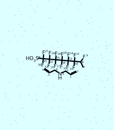 C=CCNCC=C.CC(F)C(F)(F)C(F)(F)C(F)(F)C(F)(F)C(F)(F)C(F)(F)S(=O)(=O)O